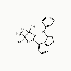 CC1(C)OB(c2cccc3c2C(Nc2ccccc2)CC3)OC1(C)C